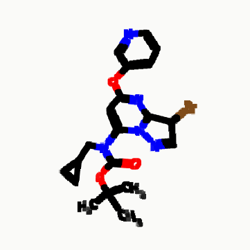 CC(C)(C)OC(=O)N(CC1CC1)C1=CC(Oc2cccnc2)=NC2C(Br)C=NN12